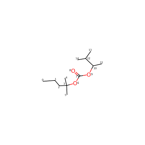 CCCC(C)(C)OC(=O)OC(C)C(C)C